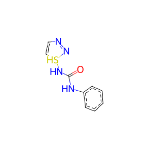 O=C(Nc1ccccc1)N[SH]1C=CN=N1